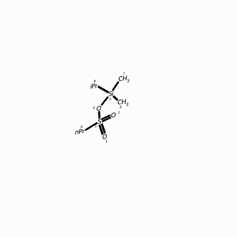 CCCS(=O)(=O)O[Si](C)(C)C(C)C